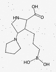 O=C(O)C1NCC(N2CCCC2)C1CCCB(O)O